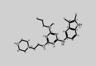 CCCN(C)c1nc(Nc2ccc3[nH]c(C)c(C)c3c2)nc(OCCN2CCOCC2)n1